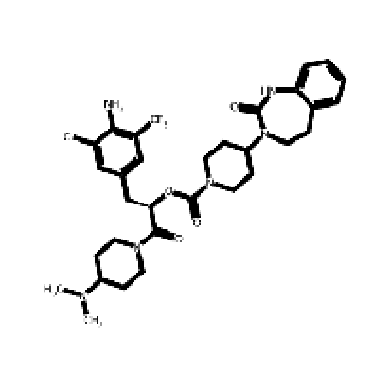 CN(C)C1CCN(C(=O)[C@@H](Cc2cc(Cl)c(N)c(C(F)(F)F)c2)OC(=O)N2CCC(N3CCc4ccccc4NC3=O)CC2)CC1